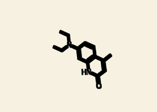 CCN(CC)c1ccc2c(C)cc(=O)[nH]c2c1